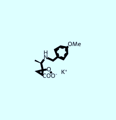 COc1ccc(CN[C@H](C)C2(OC(=O)[O-])CC2)cc1.[K+]